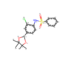 CC1(C)OB(c2ccc(NS(=O)(=O)c3ccccc3)c(Cl)c2)OC1(C)C